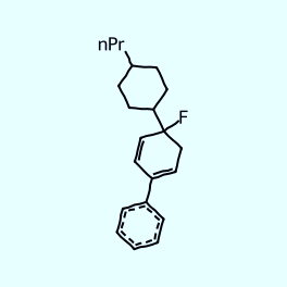 CCCC1CCC(C2(F)C=CC(c3ccccc3)=CC2)CC1